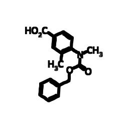 Cc1cc(C(=O)O)ccc1N(C)C(=O)OCc1ccccc1